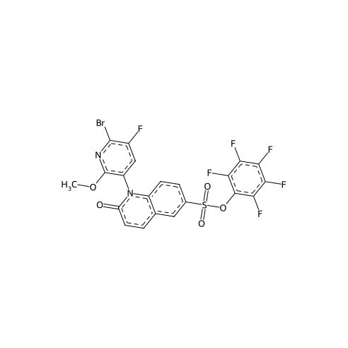 COc1nc(Br)c(F)cc1-n1c(=O)ccc2cc(S(=O)(=O)Oc3c(F)c(F)c(F)c(F)c3F)ccc21